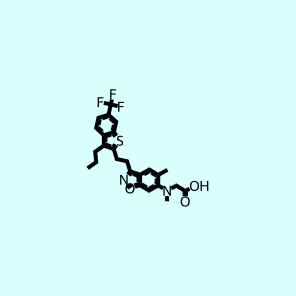 CCCc1c(CCc2noc3cc(N(C)CC(=O)O)c(C)cc23)sc2cc(C(F)(F)F)ccc12